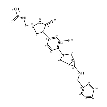 CC(=O)NC[C@H]1CN(c2ccc(N3CC4C(C3)C4NCc3ccccc3)c(F)c2)C(=O)O1